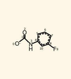 [O]C(=O)Nc1cccc(F)c1